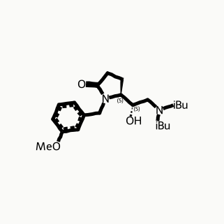 CCC(C)N(C[C@H](O)[C@@H]1CCC(=O)N1Cc1cccc(OC)c1)C(C)CC